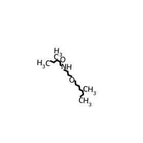 CCCC(C)CCCCOCCCCNCC(=O)C(C)CCC